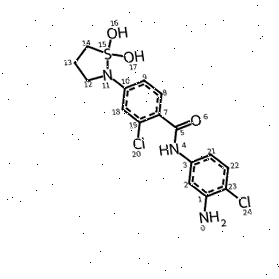 Nc1cc(NC(=O)c2ccc(N3CCCS3(O)O)cc2Cl)ccc1Cl